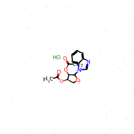 CC(=O)OC1COC(n2cnc3ccccc32)C1OC(C)=O.Cl